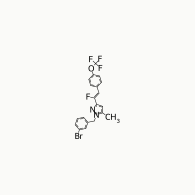 Cc1cc(C(F)=Cc2ccc(OC(F)(F)F)cc2)nn1Cc1cccc(Br)c1